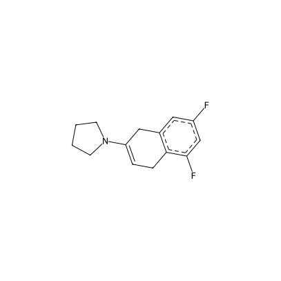 Fc1cc(F)c2c(c1)CC(N1CCCC1)=CC2